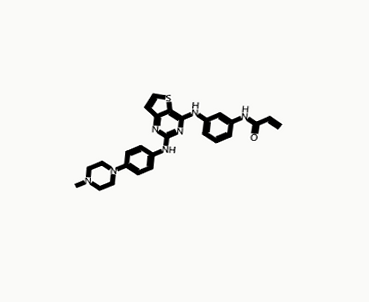 C=CC(=O)Nc1cccc(Nc2nc(Nc3ccc(N4CCN(C)CC4)cc3)nc3ccsc23)c1